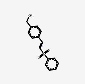 CCc1ccc(/C=C/S(=O)(=O)c2ccccc2)cc1